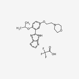 CC(C)Oc1ccc(OCCN2CCOCC2)cc1-c1nc2cccnc2[nH]1.O=C(O)C(F)(F)F